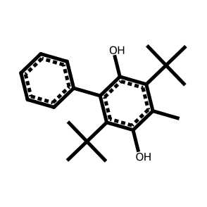 Cc1c(O)c(C(C)(C)C)c(-c2ccccc2)c(O)c1C(C)(C)C